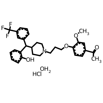 COc1cc(C(C)=O)ccc1OCCCN1CCC(C(c2cccc(C(F)(F)F)c2)c2ccccc2O)CC1.Cl.O